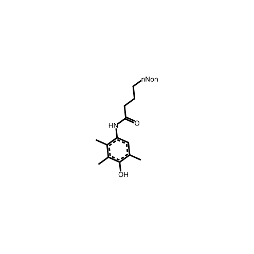 CCCCCCCCCCCCC(=O)Nc1cc(C)c(O)c(C)c1C